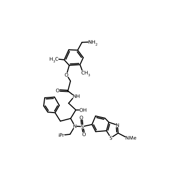 CNc1nc2ccc(S(=O)(=O)N(CC(C)C)C(Cc3ccccc3)C(O)CNC(=O)COc3c(C)cc(CN)cc3C)cc2s1